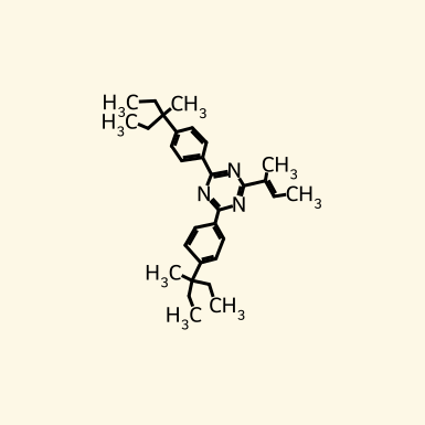 C/C=C(\C)c1nc(-c2ccc(C(C)(CC)CC)cc2)nc(-c2ccc(C(C)(CC)CC)cc2)n1